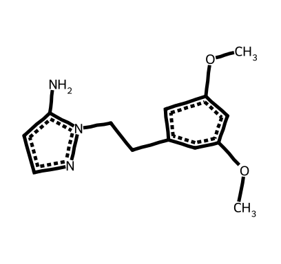 COc1cc(CCn2nccc2N)cc(OC)c1